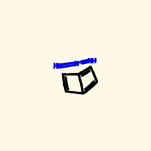 N=[N+]=N.c1cc2ccc1-2